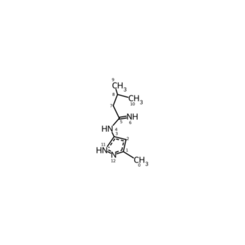 Cc1cc(NC(=N)CC(C)C)[nH]n1